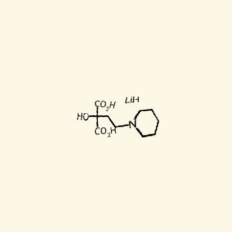 O=C(O)C(O)(CCN1CCCCC1)C(=O)O.[LiH]